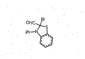 CC(C)N1c2ccccc2SC1(Br)C=O